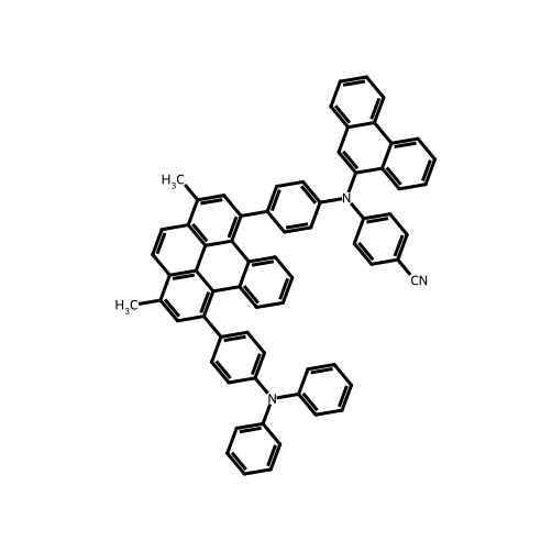 Cc1cc(-c2ccc(N(c3ccccc3)c3ccccc3)cc2)c2c3ccccc3c3c(-c4ccc(N(c5ccc(C#N)cc5)c5cc6ccccc6c6ccccc56)cc4)cc(C)c4ccc1c2c43